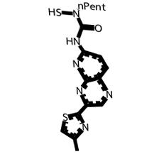 CCCCCN(S)C(=O)Nc1ccc2ncc(-c3nc(C)cs3)nc2n1